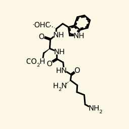 NCCCC[C@H](N)C(=O)NCC(=O)N[C@@H](CC(=O)O)C(=O)N[C@H]([C]=O)Cc1c[nH]c2ccccc12